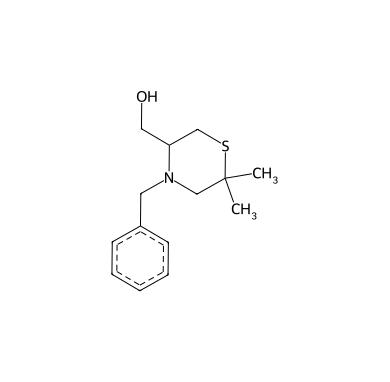 CC1(C)CN(Cc2ccccc2)C(CO)CS1